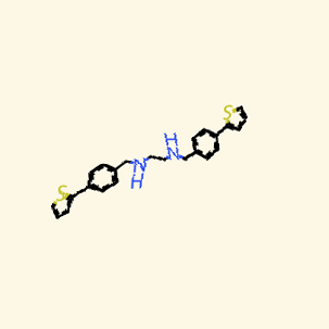 c1csc(-c2ccc(CNCCNCc3ccc(-c4cccs4)cc3)cc2)c1